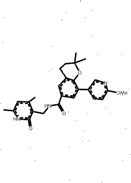 COc1ccc(-c2cc(C(=O)NCc3c(C)cc(C)[nH]c3=O)cc3c2OC(C)(C)CC3)cn1